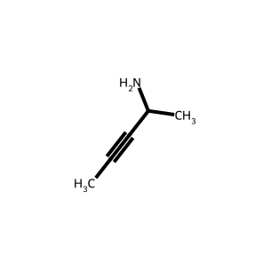 CC#CC(C)N